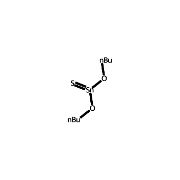 CCCC[O][Sn](=[S])[O]CCCC